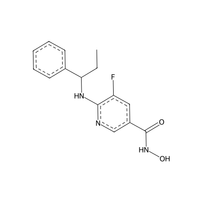 CCC(Nc1ncc(C(=O)NO)cc1F)c1ccccc1